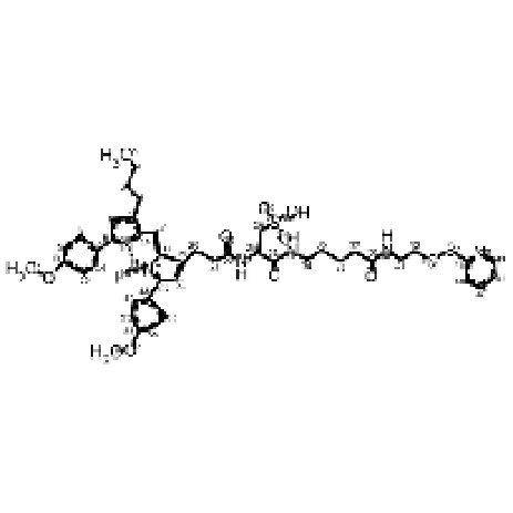 CCCCc1cc(-c2ccc(OC)cc2)n2c1C=C1C(CCC(=O)NC(CS(=O)(=O)O)C(=O)NCCCCC(=O)NCCSSc3ccccn3)=CC(c3ccc(OC)cc3)=[N+]1B2F